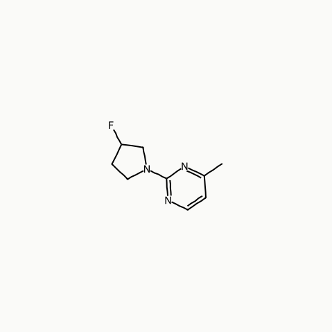 Cc1ccnc(N2CCC(F)C2)n1